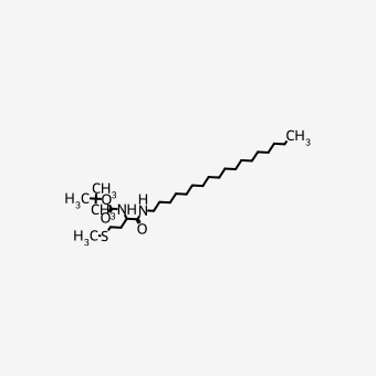 CCCCCCCCCCCCCCCCCCNC(=O)C(CCSC)NC(=O)OC(C)(C)C